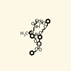 CCC(=O)NCCn1cc(C)c2ccc(COC3CN(C(=O)OCc4ccccc4)CCC3c3ccc(OCCCOCc4ccccc4OC)cc3)c(Br)c21